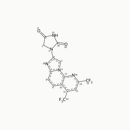 O=C1CN(c2cn3c(ccc4c(C(F)(F)F)cc(C(F)(F)F)nc43)n2)C(=O)N1